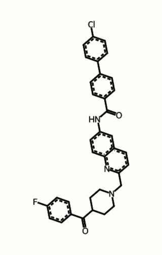 O=C(Nc1ccc2nc(CN3CCC(C(=O)c4ccc(F)cc4)CC3)ccc2c1)c1ccc(-c2ccc(Cl)cc2)cc1